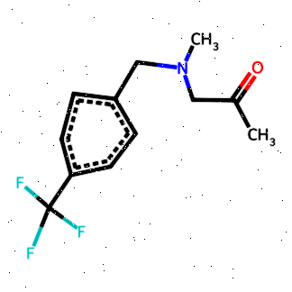 CC(=O)CN(C)Cc1ccc(C(F)(F)F)cc1